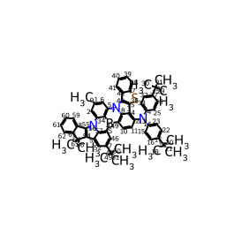 Cc1cc2c3c(c1)-n1c4c(ccc(N(c5ccc(C(C)(C)C)cc5)c5ccc(C(C)(C)C)cc5)c4c4sc5ccccc5c41)B3c1cc(C(C)(C)C)cc3c4c(n-2c13)-c1ccccc1C4(C)C